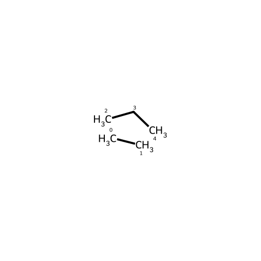 CC.CCC